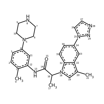 Cc1ccc(N2CCNCC2)cc1NC(=O)C(C)n1cc(C)c2cc(-n3ccnn3)ccc21